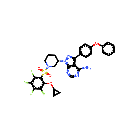 Nc1ncnc2c1c(-c1ccc(Oc3ccccc3)cc1)nn2[C@@H]1CCCN(S(=O)(=O)c2c(F)c(F)c(F)c(F)c2OC2CC2)C1